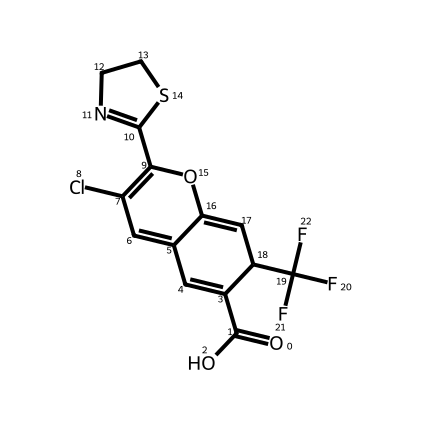 O=C(O)C1=CC2=CC(Cl)=C(C3=NCCS3)OC2=CC1C(F)(F)F